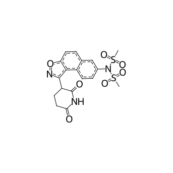 CS(=O)(=O)N(c1ccc2c(ccc3onc(C4CCC(=O)NC4=O)c32)c1)S(C)(=O)=O